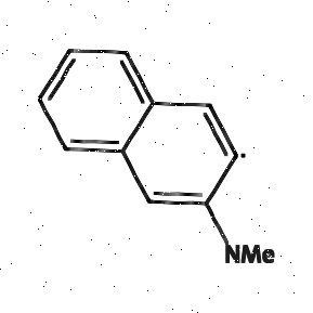 CNc1[c]cc2ccccc2c1